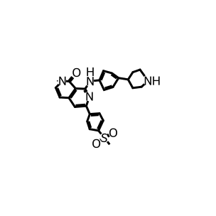 CS(=O)(=O)c1ccc(-c2cc3c(c(Nc4ccc(C5CCNCC5)cc4)n2)C(=O)[N]C=C3)cc1